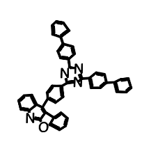 c1ccc(-c2ccc(-c3nc(-c4ccc(-c5ccccc5)cc4)nc(-c4ccc(-c5c6ccccc6nc6oc7ccccc7c56)cc4)n3)cc2)cc1